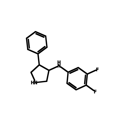 Fc1ccc(NC2CNCC2c2ccccc2)cc1F